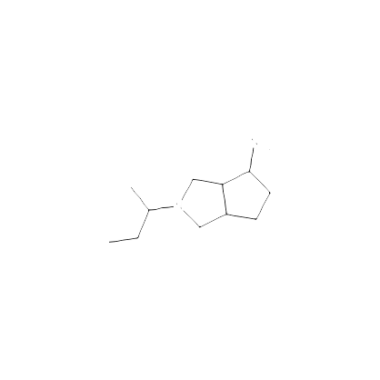 CCC(C)N1CC2CCC(N)C2C1